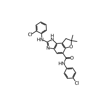 CC1(C)Cc2c(c(C(=O)Nc3ccc(Cl)cc3)cc3nc(Nc4ccccc4Cl)[nH]c23)O1